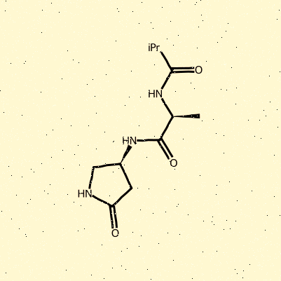 CC(C)C(=O)N[C@@H](C)C(=O)N[C@@H]1CNC(=O)C1